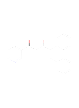 O=C(CC(=O)c1cc2ccccc2c2ccccc12)c1cccnc1